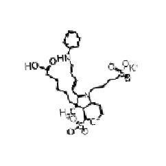 CC1(CCCCCC(=O)O)C2C(S(=O)(=O)[O-])=[C+]C=CC2N(CCCCS(=O)(=O)[O-])C1C=CC=CNc1ccccc1.[K+]